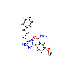 NC(=O)c1cc(OC(F)(F)F)ccc1-c1n[nH]c([CH]CCc2ccccc2)n1